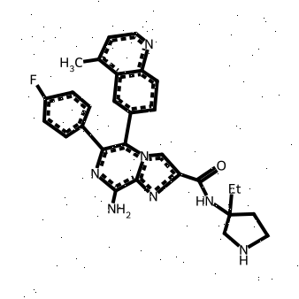 CCC1(NC(=O)c2cn3c(-c4ccc5nccc(C)c5c4)c(-c4ccc(F)cc4)nc(N)c3n2)CCNC1